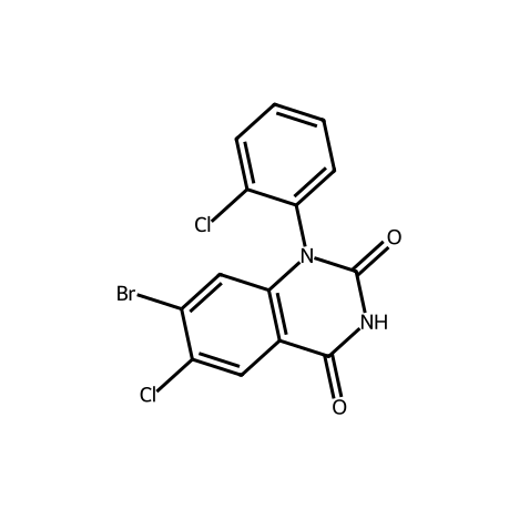 O=c1[nH]c(=O)n(-c2ccccc2Cl)c2cc(Br)c(Cl)cc12